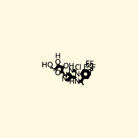 C[C@@H](Nc1nc(Cl)nc2c1cnn2[C@@H]1O[C@H](CO)[C@@H](O)[C@H]1O)c1ccc(S(F)(F)(F)(F)F)cc1